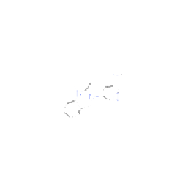 C=C1N(C)c2ccccc2CN1c1cncc(N(C)C)c1